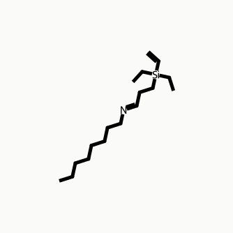 C=C[Si](CC)(CC)CCC=NCCCCCCCC